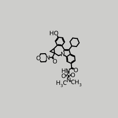 CN(C)S(=O)(=O)NC(=O)c1ccc2c(C3CCCCC3)c3n(c2c1)CC1(C(=O)N2CCOCC2)CC1c1cc(O)ccc1-3